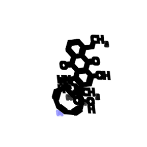 CCc1cccc2c1C(=O)c1c(O)cc3c(c1C2=O)N[C@H]1C#C/C=C\C#C[C@@H](O)[C@@]32O[C@@]12C(C)C